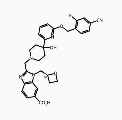 N#Cc1ccc(COc2cccc(C3(O)CCN(Cc4nc5ccc(C(=O)O)cc5n4C[C@@H]4CCO4)CC3)n2)c(F)c1